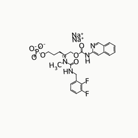 CN(C(=O)NCc1cccc(F)c1F)[C@@H](CCCOP(=O)([O-])[O-])COC(=O)Nc1cc2ccccc2cn1.[Na+].[Na+]